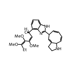 C=C(/C=C(OC)\C(OC)=C(/CC)OC)c1cccc2[nH]c(C3C=C/C=C\C4NCC/C4=C/3)nc12